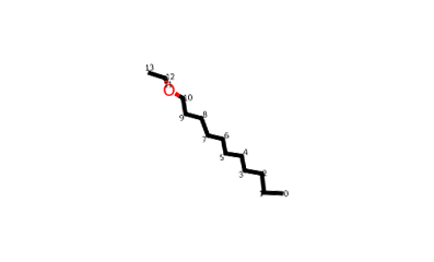 CCCCCCCCCCCOCC